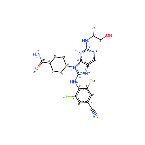 CC(CO)Nc1ncc2nc(Nc3c(F)cc(C#N)cc3F)n(C3CCC(C(N)=O)CC3)c2n1